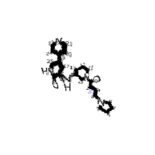 O=C(/C=C/CN1CCCC1)N1CCC[C@@H](Nc2cc(-c3ccncc3)c[nH]c2=O)C1